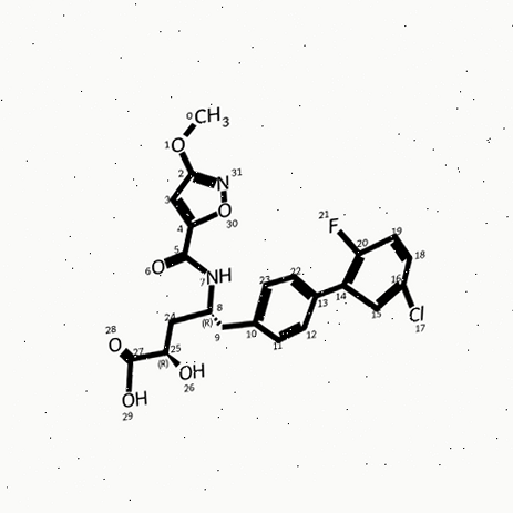 COc1cc(C(=O)N[C@H](Cc2ccc(-c3cc(Cl)ccc3F)cc2)C[C@@H](O)C(=O)O)on1